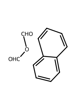 O=COC=O.c1ccc2ccccc2c1